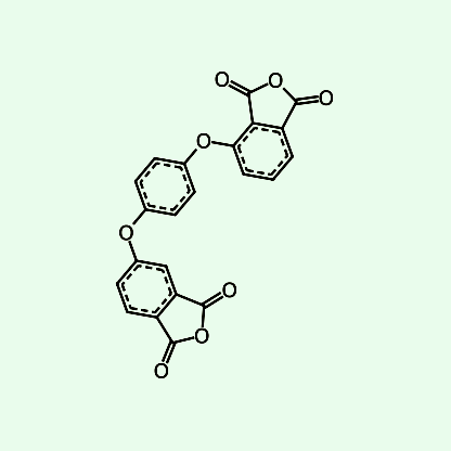 O=C1OC(=O)c2cc(Oc3ccc(Oc4cccc5c4C(=O)OC5=O)cc3)ccc21